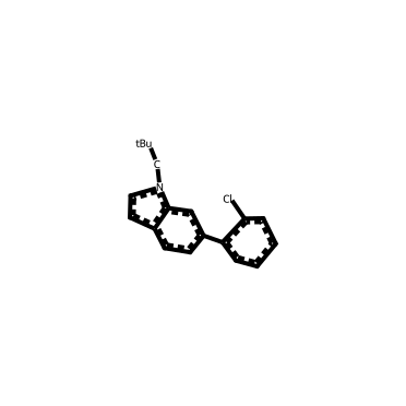 CC(C)(C)Cn1ccc2ccc(-c3ccccc3Cl)cc21